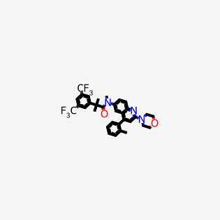 Cc1ccccc1-c1cc(N2CCOCC2)nc2ccc(N(C)C(=O)C(C)(C)c3cc(C(F)(F)F)cc(C(F)(F)F)c3)cc12